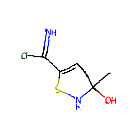 CC1(O)C=C(C(=N)Cl)SN1